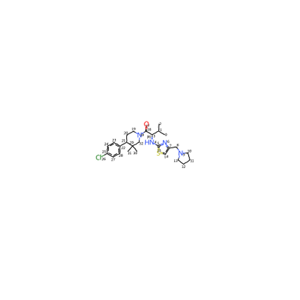 CC(C)[C@@H](Nc1nc(CN2CCCC2)cs1)C(=O)N1CCC(c2ccc(Cl)cc2)C(C)(C)C1